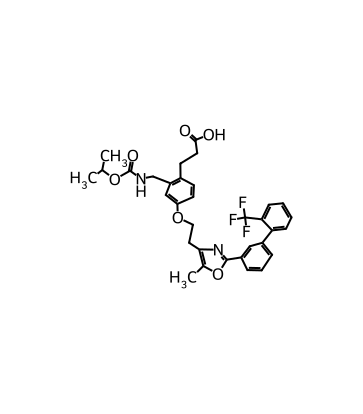 Cc1oc(-c2cccc(-c3ccccc3C(F)(F)F)c2)nc1CCOc1ccc(CCC(=O)O)c(CNC(=O)OC(C)C)c1